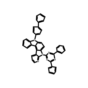 c1ccc(-c2ccc(-n3c4ccccc4c4c5c6cccnc6n(-c6nc(-c7ccccc7)nc(-c7ccccc7)n6)c5ccc43)cc2)cc1